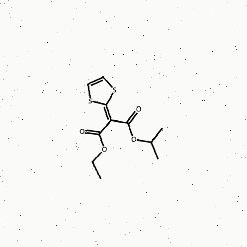 CCOC(=O)C(C(=O)OC(C)C)=C1SC=CS1